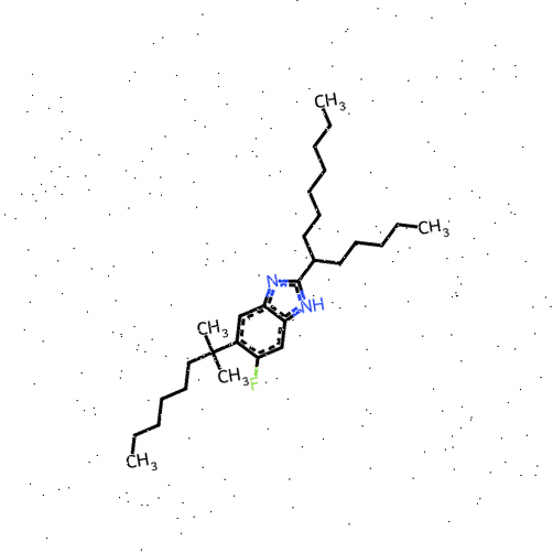 CCCCCCCC(CCCCC)c1nc2cc(C(C)(C)CCCCCC)c(F)cc2[nH]1